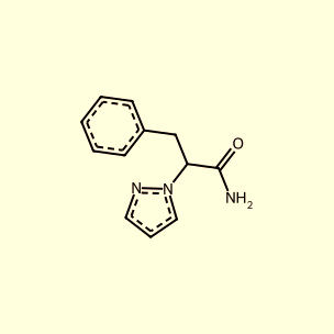 NC(=O)C(Cc1ccccc1)n1cccn1